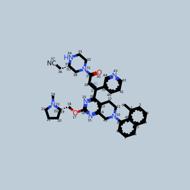 Cc1cccc2cccc(N3CCc4c(nc(OC[C@@H]5CCCN5C)nc4/C(=C/C(=O)N4CCN[C@@H](CC#N)C4)c4cccnc4)C3)c12